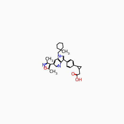 Cc1noc(C)c1-c1cnc2c(-c3ccc(C4CC4CC(=O)O)cc3)cn(CC3(C)CCCCC3)c2c1